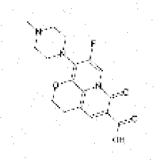 CN1CCN(c2c(F)cn3c(=O)c(C(=O)O)cc4c3c2OCC4)CC1